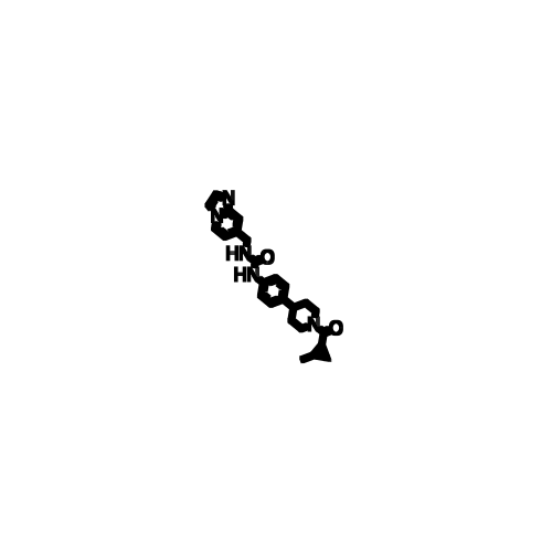 CC1CC1C(=O)N1CCC(c2ccc(NC(=O)NCc3ccn4ccnc4c3)cc2)CC1